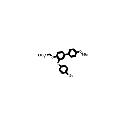 CCCCOc1ccc(-c2ccc(OCC(=O)OCC)c(Oc3ccc(C(C)(C)C)cc3)c2)cc1